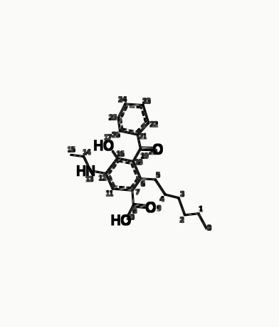 CCCCCCc1c(C(=O)O)cc(NCC)c(O)c1C(=O)c1ccccc1